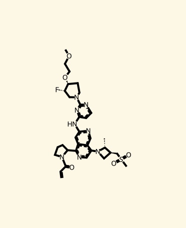 C=CC(=O)N1CCCC1c1ncc(N2C[C@H](CS(C)(=O)=O)[C@H]2C)c2cnc(Nc3ccnc(N4CC[C@@H](OCCOC)[C@@H](F)C4)n3)cc12